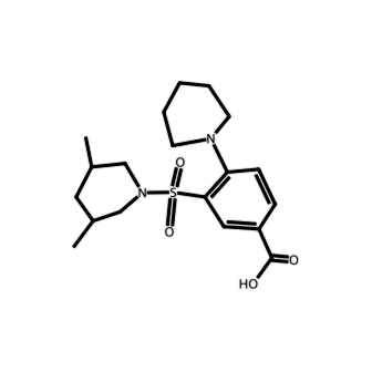 CC1CC(C)CN(S(=O)(=O)c2cc(C(=O)O)ccc2N2CCCCC2)C1